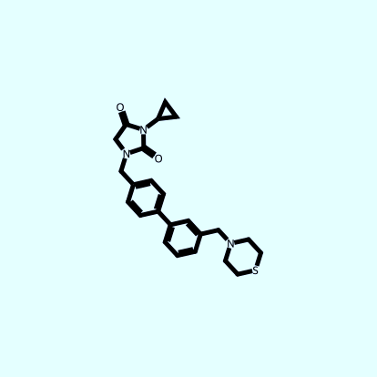 O=C1CN(Cc2ccc(-c3cccc(CN4CCSCC4)c3)cc2)C(=O)N1C1CC1